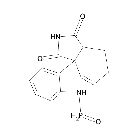 O=[PH2]Nc1ccccc1C12C=CCCC1C(=O)NC2=O